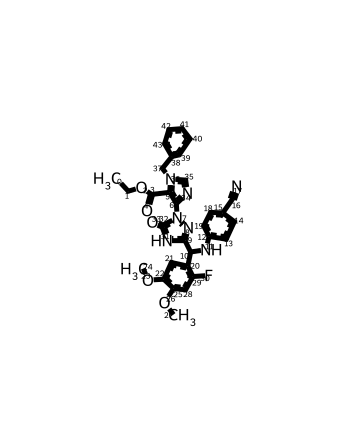 CCOC(=O)c1c(-n2nc(C(Nc3ccc(C#N)cc3)c3cc(OC)c(OC)cc3F)[nH]c2=O)ncn1Cc1ccccc1